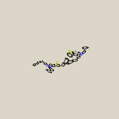 c1ccc(-c2cccc(N(c3ccc(-c4ccc5ccc6c7ccccc7ccc6c5c4)cc3)c3ccc4cc5sc6cc(-c7ccc8c(ccc9c%10cc(-c%11ccc(N(c%12cccc(-c%13ccccc%13)c%12)c%12cccc%13cc%14sc%15ccccc%15c%14cc%12%13)cc%11)ccc%10ccc89)c7)ccc6c5cc4c3)c2)cc1